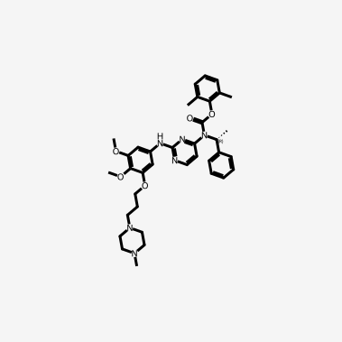 COc1cc(Nc2nccc(N(C(=O)Oc3c(C)cccc3C)[C@H](C)c3ccccc3)n2)cc(OCCCN2CCN(C)CC2)c1OC